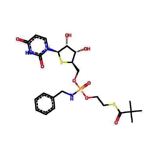 CC(C)(C)C(=O)SCCOP(=O)(NCc1ccccc1)OC[C@H]1S[C@@H](n2ccc(=O)[nH]c2=O)[C@H](O)[C@@H]1O